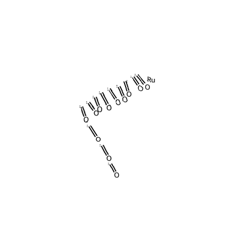 [C]=O.[C]=O.[C]=O.[C]=O.[C]=O.[C]=O.[C]=O.[C]=O.[C]=O.[C]=O.[C]=O.[C]=O.[Ru]